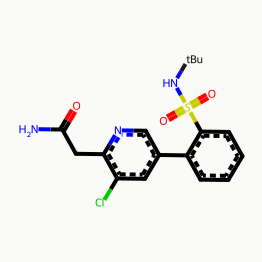 CC(C)(C)NS(=O)(=O)c1ccccc1-c1cnc(CC(N)=O)c(Cl)c1